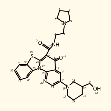 O=C(NCCN1CCCC1)c1c(=O)c2cc(N3CCCC(CO)C3)cnc2n2c1sc1ccccc12